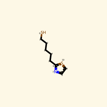 SCCCCCc1nccs1